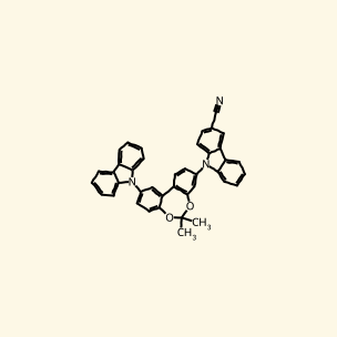 CC1(C)Oc2cc(-n3c4ccccc4c4cc(C#N)ccc43)ccc2-c2cc(-n3c4ccccc4c4ccccc43)ccc2O1